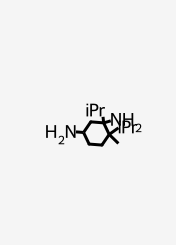 CC(C)C1(C)CCC(N)CC1(N)C(C)C